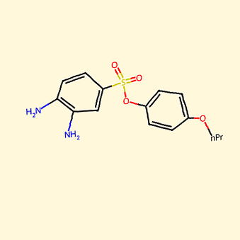 CCCOc1ccc(OS(=O)(=O)c2ccc(N)c(N)c2)cc1